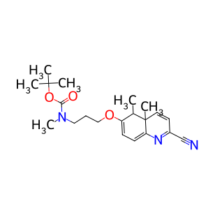 CC1C(OCCCN(C)C(=O)OC(C)(C)C)=CC=C2N=C(C#N)C=CC21C